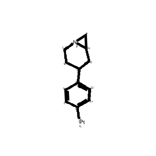 CC(C)c1ccc(C2CCN3CC3C2)cc1